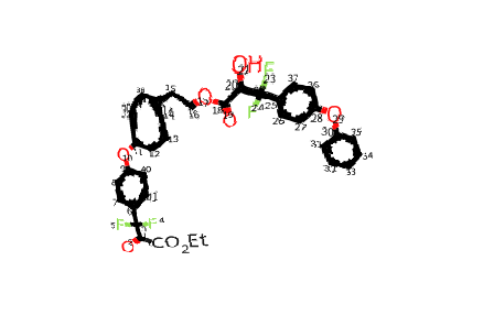 CCOC(=O)C(=O)C(F)(F)c1ccc(Oc2ccc(CCOC(=O)C(O)C(F)(F)c3ccc(Oc4ccccc4)cc3)cc2)cc1